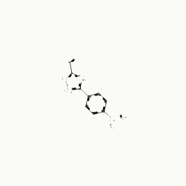 O=Cc1nnc(-c2ccc([N+](=O)[O-])cc2)[nH]1